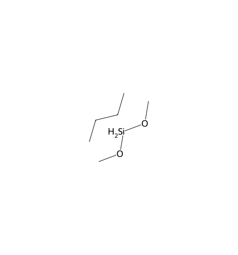 CCCC.CO[SiH2]OC